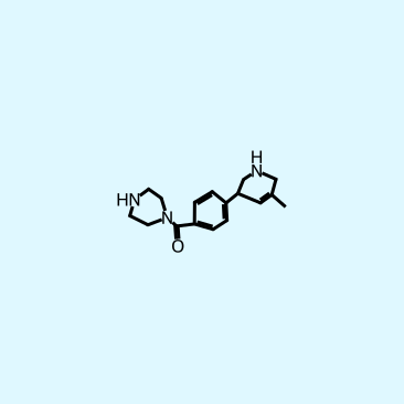 CC1=CC(c2ccc(C(=O)N3CCNCC3)cc2)CNC1